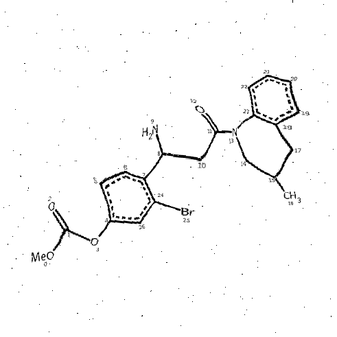 COC(=O)Oc1ccc(C(N)CC(=O)N2CC(C)Cc3ccccc32)c(Br)c1